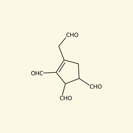 O=CCC1=C(C=O)C(C=O)C(C=O)C1